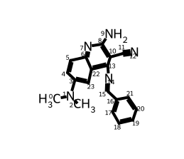 CN(C)c1ccc2nc(N)c(C#N)c(N=Cc3ccccc3)c2c1